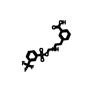 O=C(O)c1cccc(CCNCOS(=O)(=O)c2cccc(C(F)(F)F)c2)c1